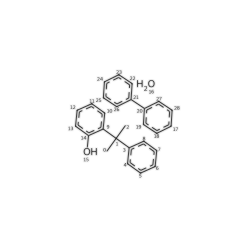 CC(C)(c1ccccc1)c1ccccc1O.O.c1ccc(-c2ccccc2)cc1